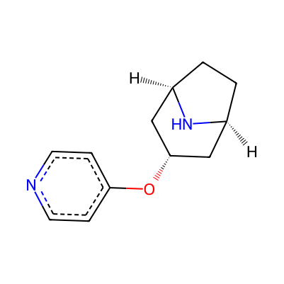 c1cc(O[C@@H]2C[C@H]3CC[C@@H](C2)N3)ccn1